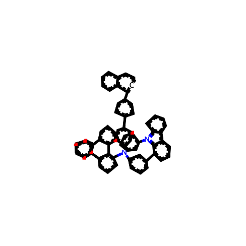 c1ccc(-c2ccccc2-c2c(-c3ccccc3)cccc2N(c2ccc(-c3ccc(-c4cccc5ccccc45)cc3)cc2)c2cccc(-c3cccc4c5ccccc5n(-c5ccccc5)c34)c2)cc1